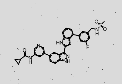 CS(=O)(=O)NCc1cc(F)cc(-c2cccc3[nH]c(-c4n[nH]c5ccc(-c6cncc(NC(=O)C7CC7)c6)cc45)cc23)c1